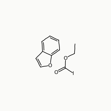 CCOC(=O)I.c1ccc2occc2c1